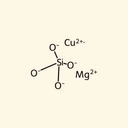 [Cu+2].[Mg+2].[O-][Si]([O-])([O-])[O-]